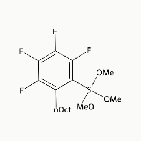 CCCCCCCCc1c(F)c(F)c(F)c(F)c1[Si](OC)(OC)OC